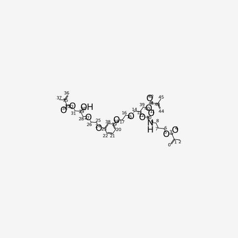 C=C(C)C(=O)OCCCNC(=O)OC(COCCOc1cccc(OCCOCC(O)COC(=O)C(=C)C)c1)COC(=O)C(=C)C